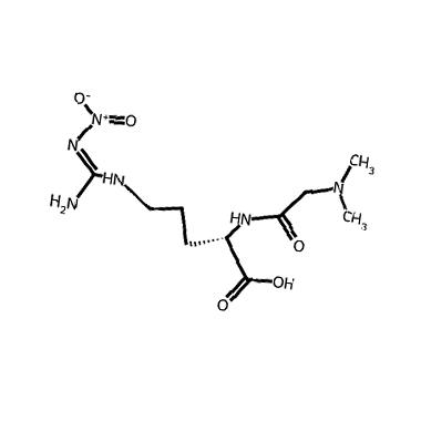 CN(C)CC(=O)N[C@@H](CCCN/C(N)=N\[N+](=O)[O-])C(=O)O